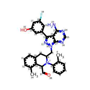 Cc1ccccc1N1C(Cn2nc(-c3cc(O)cc(F)c3)c3c(N)ncnc32)Cc2cccc(C)c2C1C=O